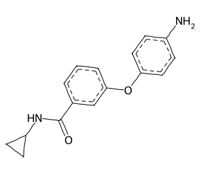 Nc1ccc(Oc2cccc(C(=O)NC3CC3)c2)cc1